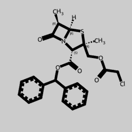 C[C@@H]1C(=O)N2[C@@H]1S[C@@](C)(COC(=O)CCl)[C@@H]2C(=O)OC(c1ccccc1)c1ccccc1